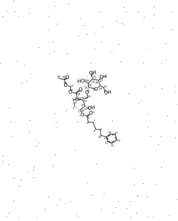 CC[C@@H](OC(=O)CCCCCc1ccccc1)[C@@H](O)[C@H](CO[C@H]1OC(CO)[C@H](O)[C@H](O)C1O)NC(=O)OCOC(C)=O